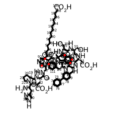 C[C@@H](O)[C@H](NC(=O)CNC(=O)[C@H](CCC(=O)O)NC(=O)[C@]1(C)CCCN1C(=O)[C@@H](N)Cc1c[nH]cn1)C(=O)NC(C)(Cc1ccccc1F)C(=O)N[C@H](C(=O)N[C@@H](CO)C(=O)N[C@@H](CC(=O)O)C(=O)N[C@@H](Cc1ccc(-c2ccccc2)cc1)C(=O)N[C@@H](Cc1ccc(-n2nncc2CCCCCCCCCCCCCCCC(=O)O)cc1)C(N)=O)[C@@H](C)O